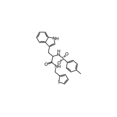 Cc1ccc(S(=O)(=O)NC(Cc2c[nH]c3ccccc23)C(=O)NCc2cccs2)cc1